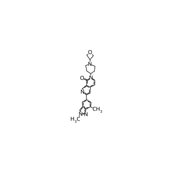 Cc1cc(-c2cc3ccn(C4CCN(C5COC5)CC4)c(=O)c3cn2)cc2cn(C)nc12